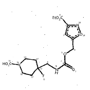 CCOC(=O)c1cc(COC(=O)NCC2(F)CCN(C(=O)O)CC2)on1